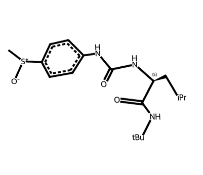 CC(C)C[C@H](NC(=O)Nc1ccc([S+](C)[O-])cc1)C(=O)NC(C)(C)C